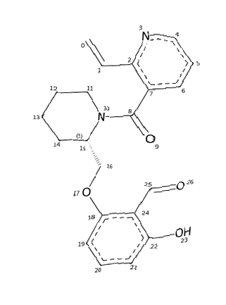 C=Cc1ncccc1C(=O)N1CCCC[C@H]1COc1cccc(O)c1C=O